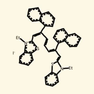 CCN1C(=CC(=CC=CC(=Cc2sc3ccccc3[n+]2CC)c2cccc3ccccc23)c2cccc3ccccc23)Sc2ccccc21.[I-]